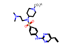 C=Cc1cnc(Nc2ccc(S(=O)(=O)N(CCN(C)C)C3CCN(C(=O)O)CC3)cc2)nc1